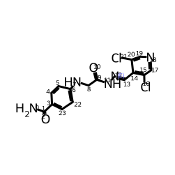 NC(=O)c1ccc(NCC(=O)N/N=C/c2c(Cl)cncc2Cl)cc1